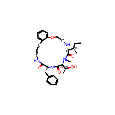 CC[C@@H](C)[C@H]1NCCOc2ccccc2CCCNC(=O)[C@@H](Cc2ccccc2)NC(=O)[C@H]([C@H](C)O)N(C)C1=O